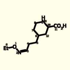 CCO/N=C\CCC1CCNC(C(=O)O)C1